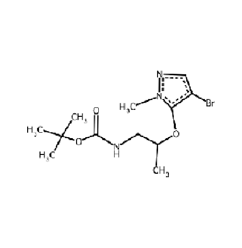 CC(CNC(=O)OC(C)(C)C)Oc1c(Br)cnn1C